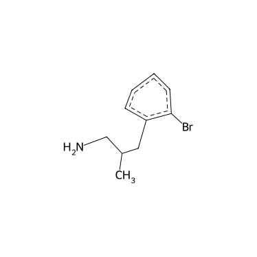 CC(CN)Cc1ccccc1Br